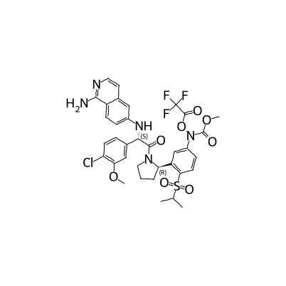 COC(=O)N(OC(=O)C(F)(F)F)c1ccc(S(=O)(=O)C(C)C)c([C@H]2CCCN2C(=O)[C@@H](Nc2ccc3c(N)nccc3c2)c2ccc(Cl)c(OC)c2)c1